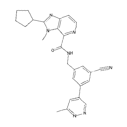 Cc1cc(-c2cc(C#N)cc(CNC(=O)c3nccc4nc(C5CCCC5)n(C)c34)c2)cnn1